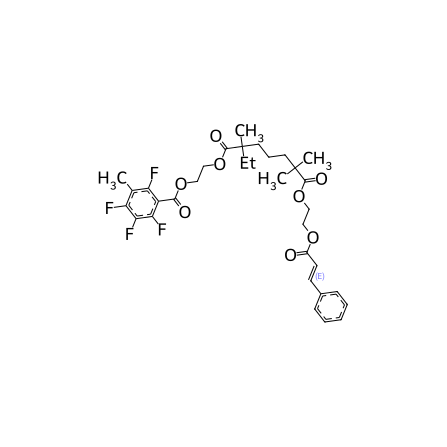 CCC(C)(CCCC(C)(C)C(=O)OCCOC(=O)/C=C/c1ccccc1)C(=O)OCCOC(=O)c1c(F)c(C)c(F)c(F)c1F